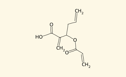 C=CCC(OC(=O)C=C)C(=C)C(=O)O